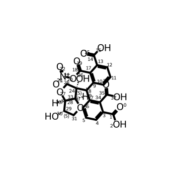 O=C(O)c1cccc([C](c2cccc(C(=O)O)c2C(=O)O[N+](=O)[O-])[C@]2(O)CO[C@@H]3[C@@H](O)CO[C@@H]32)c1C(=O)O